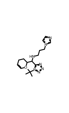 CC(C)(C)n1nnnc1C(NCCCn1ccnc1)C1CCC=CO1